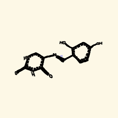 O=c1[nH]cc(/N=C/c2ccc(O)cc2O)c(=O)[nH]1